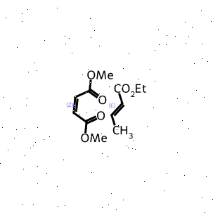 C/C=C/C(=O)OCC.COC(=O)/C=C\C(=O)OC